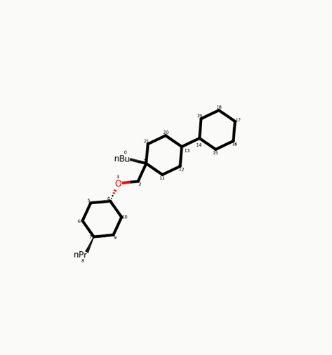 CCCCC1(CO[C@H]2CC[C@H](CCC)CC2)CCC(C2CCCCC2)CC1